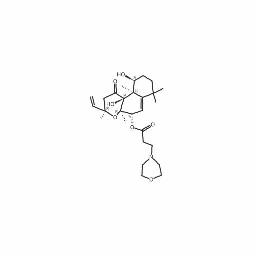 C=C[C@@]1(C)CC(=O)[C@@]2(O)[C@](C)(O1)[C@@H](OC(=O)CCN1CCOCC1)C=C1C(C)(C)CC[C@H](O)[C@@]12C